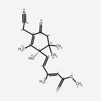 COC(=O)C=C(C)C=C[C@@]1(O)C(C)=C(CC#N)C(=O)CC1(C)C